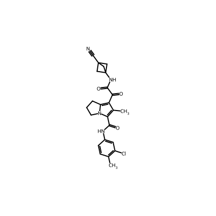 Cc1ccc(NC(=O)c2c(C)c(C(=O)C(=O)NC34CC(C#N)(C3)C4)c3n2CCC3)cc1Cl